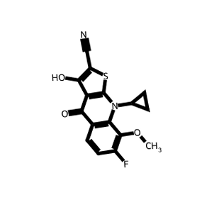 COc1c(F)ccc2c(=O)c3c(O)c(C#N)sc3n(C3CC3)c12